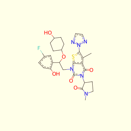 Cc1c(-n2nccn2)sc2c1c(=O)n(C1CCN(C)C1=O)c(=O)n2CC(OC1CCC(O)CC1)c1cc(F)ccc1O